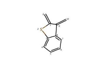 C=c1sc2ccccc2c1=C